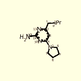 CC(C)Cc1cc(N2CCCC2)nc(N)n1